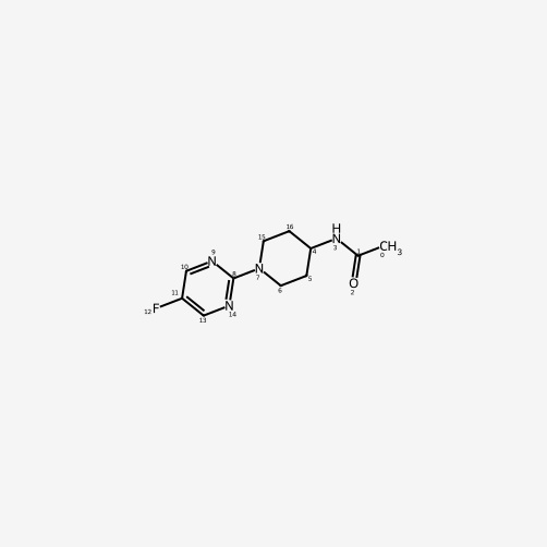 CC(=O)NC1CCN(c2ncc(F)cn2)CC1